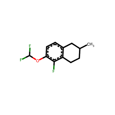 CC1CCc2c(ccc(OC(F)F)c2F)C1